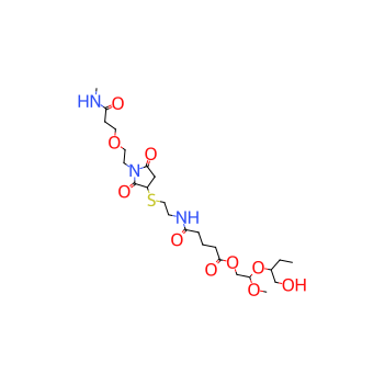 CCC(CO)OC(COC(=O)CCCC(=O)NCCSC1CC(=O)N(CCOCCC(=O)NC)C1=O)OC